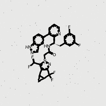 O=C(Cn1nc2c(c1C(F)F)C1CC1C2(F)F)N[C@@H](Cc1cc(F)cc(F)c1)c1ncccc1-c1ccc2[nH]ncc2c1